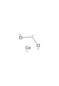 ClCCl.[Co]